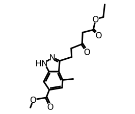 CCOC(=O)CC(=O)CCc1n[nH]c2cc(C(=O)OC)cc(C)c12